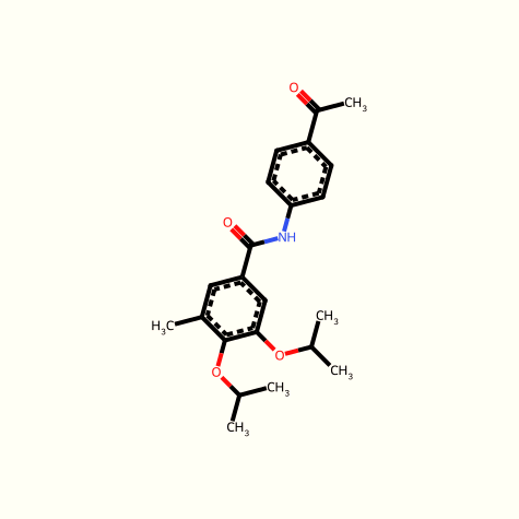 CC(=O)c1ccc(NC(=O)c2cc(C)c(OC(C)C)c(OC(C)C)c2)cc1